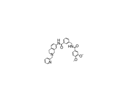 COc1ccc(C(=O)NCc2cccc(C(=O)Nc3ccc4c(c3)CN(Cc3ccccn3)CC4)c2)cc1OC